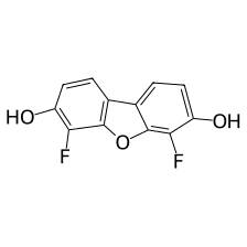 Oc1ccc2c(oc3c(F)c(O)ccc32)c1F